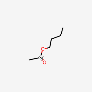 CCCC[O][Sn]([CH3])=[O]